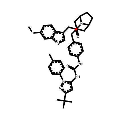 COc1ccc2c(CC(=O)N3C4CCC3CC(Cc3ccc(NC(=O)Nc5cc(C(C)(C)C)nn5-c5ccc(C)cc5)cc3)C4)coc2c1